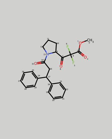 COC(=O)C(F)(F)C(=O)C1CCCN1C(=O)CC(c1ccccc1)c1ccccc1